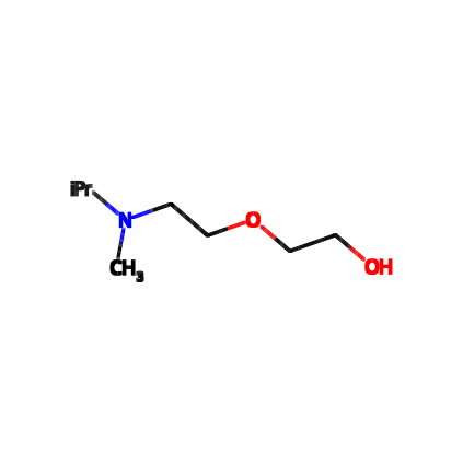 CC(C)N(C)CCOCCO